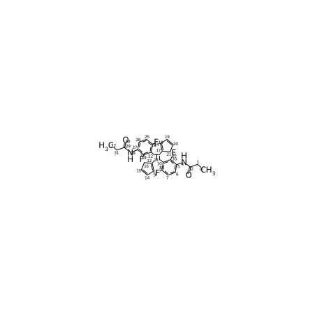 CCC(=O)Nc1ccc(F)[c]([Ti]([C]2=CC=CC2)([C]2=CC=CC2)[c]2c(F)ccc(NC(=O)CC)c2F)c1F